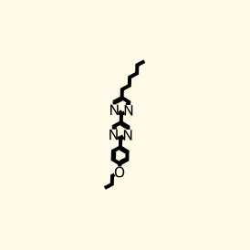 CCCCCCc1cnc(-c2cnc(-c3ccc(OCCC)cc3)nc2)nc1